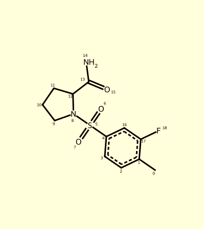 Cc1ccc(S(=O)(=O)N2CCCC2C(N)=O)cc1F